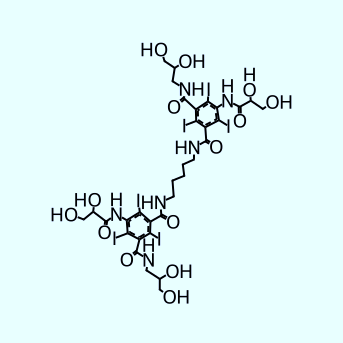 O=C(NCCCCCNC(=O)c1c(I)c(NC(=O)C(O)CO)c(I)c(C(=O)NCC(O)CO)c1I)c1c(I)c(NC(=O)C(O)CO)c(I)c(C(=O)NCC(O)CO)c1I